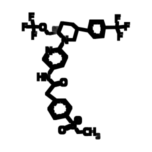 CCS(=O)(=O)c1ccc(CC(=O)Nc2ccc(N3CC(c4ccc(C(F)(F)F)cc4)CC[C@H]3COC(F)(F)F)nc2)cc1